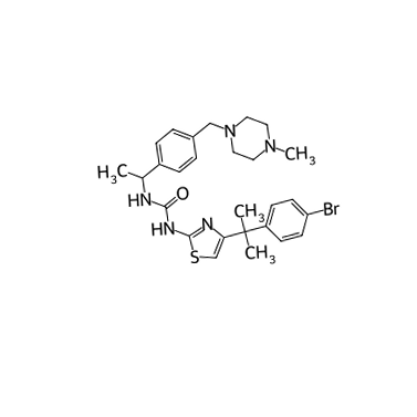 CC(NC(=O)Nc1nc(C(C)(C)c2ccc(Br)cc2)cs1)c1ccc(CN2CCN(C)CC2)cc1